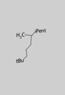 CCCC(C)[C](C)CCCC(C)(C)C